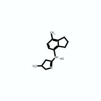 Cc1ccc(NC2=NCC(C)C2)c2c1CCC2.Cl